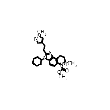 COC(=O)N1c2ccc3c(nc(CCc4cnn(C)c4)n3C3CCCCC3)c2CC[C@@H]1C